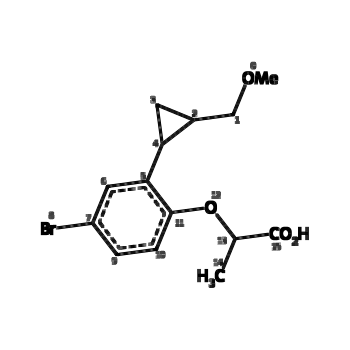 COCC1CC1c1cc(Br)ccc1OC(C)C(=O)O